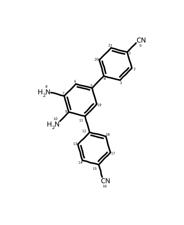 N#Cc1ccc(-c2cc(N)c(N)c(-c3ccc(C#N)cc3)c2)cc1